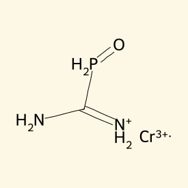 NC(=[NH2+])[PH2]=O.[Cr+3]